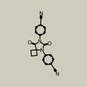 N#Cc1ccc(N2C(=O)N(c3ccc(C#N)cc3)C3(CCC3)C2=O)cc1